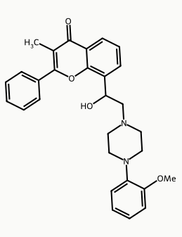 COc1ccccc1N1CCN(CC(O)c2cccc3c(=O)c(C)c(-c4ccccc4)oc23)CC1